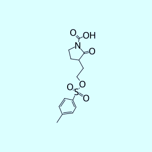 Cc1ccc(S(=O)(=O)OCCC2CCN(C(=O)O)C2=O)cc1